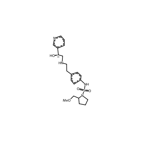 COCC1CCCN1S(=O)(=O)Nc1ccc(CCNC[C@@H](O)c2cccnc2)cc1